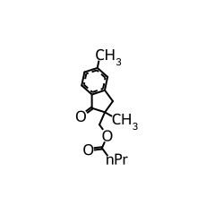 CCCC(=O)OCC1(C)Cc2cc(C)ccc2C1=O